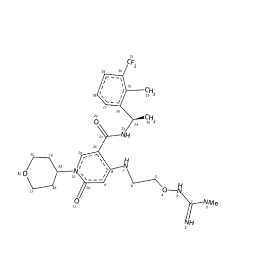 CNC(=N)NOCCNc1cc(=O)n(C2CCOCC2)cc1C(=O)N[C@H](C)c1cccc(C(F)(F)F)c1C